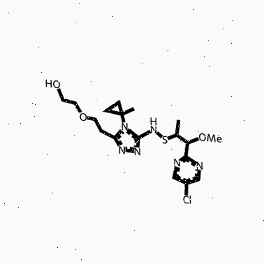 COC(c1ncc(Cl)cn1)C(C)SNc1nnc(CCOCCO)n1C1(C)CC1